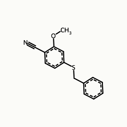 COc1cc(SCc2ccccc2)ccc1C#N